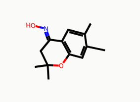 Cc1cc2c(cc1C)/C(=N/O)CC(C)(C)O2